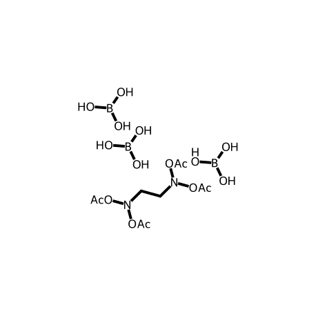 CC(=O)ON(CCN(OC(C)=O)OC(C)=O)OC(C)=O.OB(O)O.OB(O)O.OB(O)O